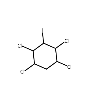 ClC1CC(Cl)C(Cl)C(I)C1Cl